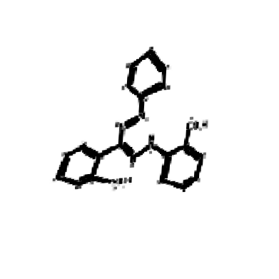 O=C(O)c1ccccc1NN=C(N=Nc1ccccc1)c1ccccc1S(=O)(=O)O